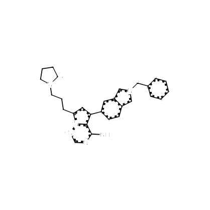 Nc1ncnn2c(CCCN3CCCC3)cc(-c3ccc4cn(Cc5ccccc5)cc4c3)c12